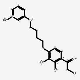 Cc1c(OCCCCOc2ccc[n+](O)c2)ccc(C(=O)CC(C)C)c1O